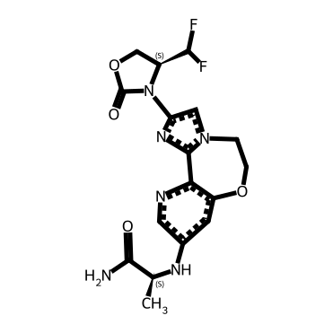 C[C@H](Nc1cnc2c(c1)OCCn1cc(N3C(=O)OC[C@H]3C(F)F)nc1-2)C(N)=O